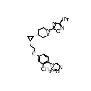 Cc1cc(OCC[C@@H]2C[C@@H]2C2CCN(c3nc(C(C)C)no3)CC2)ccc1-n1cnnn1